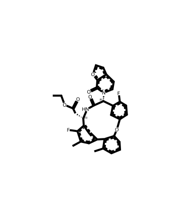 CCOC(=O)C[C@@H]1NC(=O)[C@H](n2ccc3ccoc3c2=O)c2cc(ccc2F)Oc2cccc(C)c2-c2cc(C)c(F)c1c2